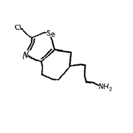 NCCC1CCc2nc(Cl)[se]c2C1